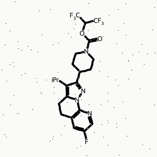 CC(C)c1c(C2CCN(C(=O)OC(C(F)(F)F)C(F)(F)F)CC2)nn2c1CCc1cc(F)cnc1-2